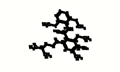 CCc1cccc(CC)c1NC(=O)c1c(OCCC(C)C)cc(C)[n+]([O-])c1CC